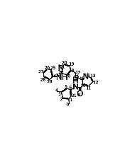 Cc1cc(C)cc(NC(=O)c2cccnc2SCc2ccnc(Nc3ccccc3)c2)c1